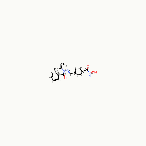 CC(C)N(N=Cc1ccc(C(=O)NO)cc1)C(=O)c1ccccc1